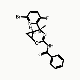 C[C@@]1(c2nc(Br)ccc2F)N=C(NC(=O)c2ccccc2)OC2C[C@H]21